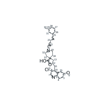 COc1ccc2ncc(Cl)c(CCCC3(C(=O)O)CCN(CCCSc4cccc(C)c4)CC3)c2c1